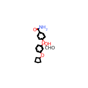 NC(=O)c1ccc(Oc2cccc(OC3CCCC3)c2)cc1.O=CO